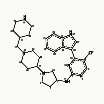 Clc1cnc(NC2CCN(C3CCN(CC4CCNCC4)CC3)C2)nc1-c1c[nH]c2ccccc12